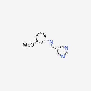 COc1cccc(N=Cc2cncnc2)c1